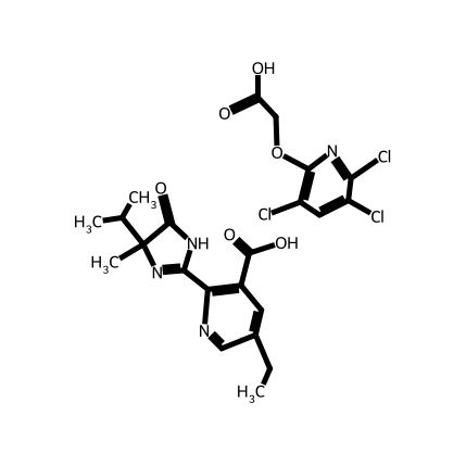 CCc1cnc(C2=NC(C)(C(C)C)C(=O)N2)c(C(=O)O)c1.O=C(O)COc1nc(Cl)c(Cl)cc1Cl